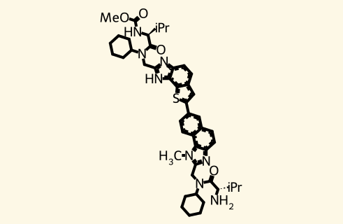 COC(=O)N[C@H](C(=O)N(Cc1nc2ccc3cc(-c4ccc5c(ccc6nc(CN(C(=O)[C@@H](N)C(C)C)C7CCCCC7)n(C)c65)c4)sc3c2[nH]1)C1CCCCC1)C(C)C